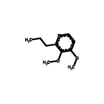 CCCc1nccc(OC)c1OC